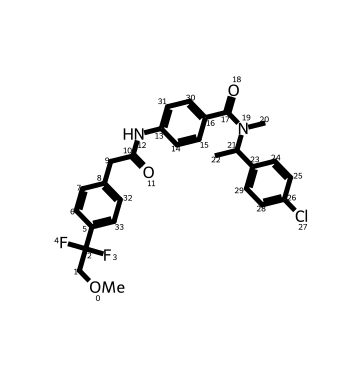 COCC(F)(F)c1ccc(CC(=O)Nc2ccc(C(=O)N(C)C(C)c3ccc(Cl)cc3)cc2)cc1